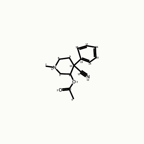 CC(=O)OC1CN(C)CCC1(C#N)c1ccccc1